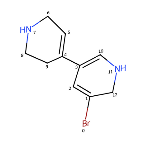 BrC1=CC(C2=CCNCC2)=CNC1